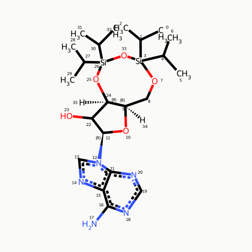 CC(C)[Si]1(C(C)C)OC[C@H]2O[C@@H](n3cnc4c(N)ncnc43)C(O)[C@H]2O[Si](C(C)C)(C(C)C)O1